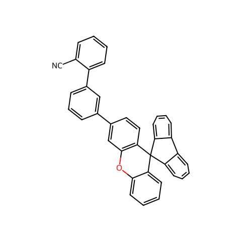 N#Cc1ccccc1-c1cccc(-c2ccc3c(c2)Oc2ccccc2C32c3ccccc3-c3ccccc32)c1